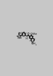 COc1cc2c(cc1C(=O)Nc1cccc(-c3nncn3C(C)C)n1)CN(C)CC2